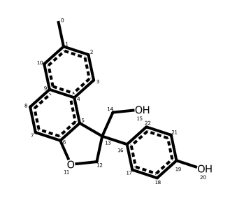 Cc1ccc2c3c(ccc2c1)OCC3(CO)c1ccc(O)cc1